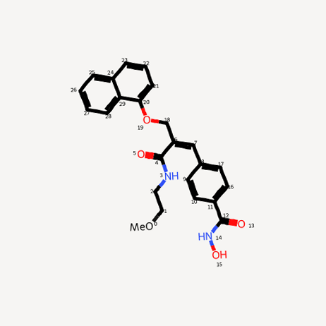 COCCNC(=O)C(=Cc1ccc(C(=O)NO)cc1)COc1cccc2ccccc12